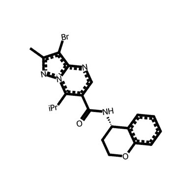 Cc1nn2c(C(C)C)c(C(=O)N[C@H]3CCOc4ccccc43)cnc2c1Br